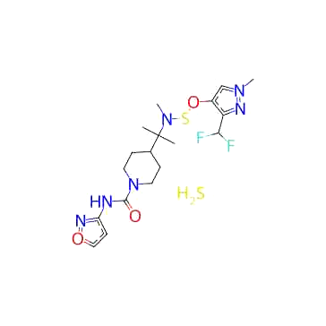 CN(SOc1cn(C)nc1C(F)F)C(C)(C)C1CCN(C(=O)Nc2ccon2)CC1.S